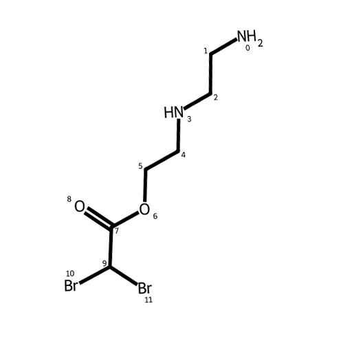 NCCNCCOC(=O)C(Br)Br